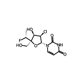 C[C@@H](F)[C@]1(CO)O[C@@H](n2ccc(=O)[nH]c2=O)[C@H](Cl)[C@@H]1O